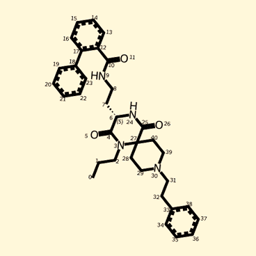 CCCN1C(=O)[C@H](CCNC(=O)c2ccccc2-c2ccccc2)NC(=O)C12CCN(CCc1ccccc1)CC2